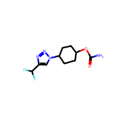 NC(=O)OC1CCC(n2cc(C(F)F)nn2)CC1